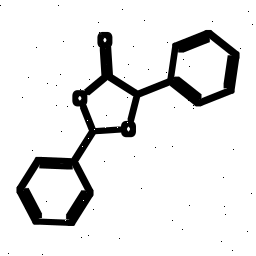 O=C1OC(c2ccccc2)OC1c1ccccc1